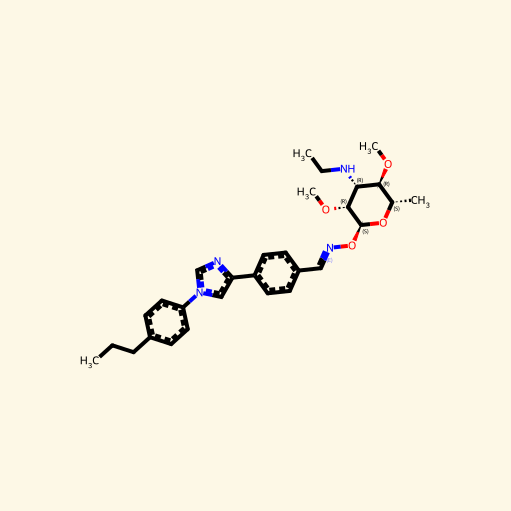 CCCc1ccc(-n2cnc(-c3ccc(/C=N/O[C@@H]4O[C@@H](C)[C@H](OC)[C@@H](NCC)[C@H]4OC)cc3)c2)cc1